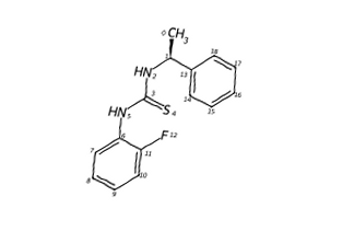 C[C@H](NC(=S)Nc1ccccc1F)c1ccccc1